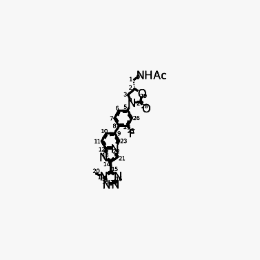 CC(=O)NC[C@H]1CN(c2ccc(-c3ccc4nc(-c5nnnn5C)cn4c3)c(F)c2)C(=O)O1